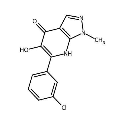 Cn1ncc2c(=O)c(O)c(-c3cccc(Cl)c3)[nH]c21